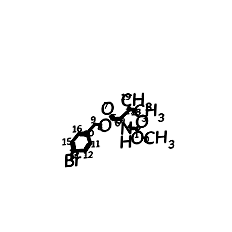 COC(=O)N[C@H](C(=O)OCc1ccc(Br)cc1)C(C)C